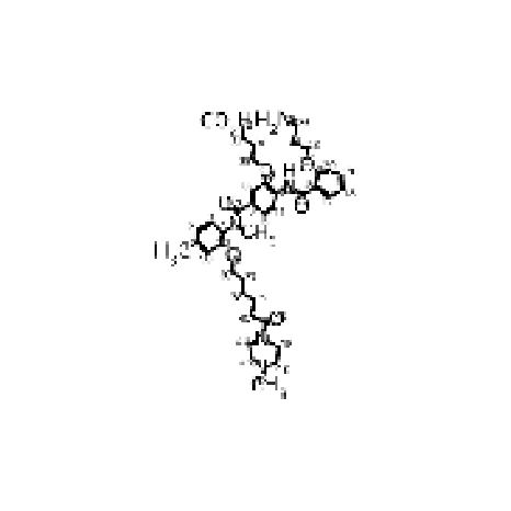 Cc1ccc(N(C)C(=O)c2ccc(NC(=O)c3ccccc3OCCCN)c(OCCCC(=O)O)c2)c(OCCCCCC(=O)N2CCN(C)CC2)c1